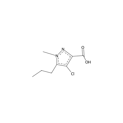 CCCc1c(Cl)c(C(=O)O)nn1C